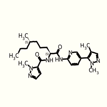 CCC[C@H](C)CCC[C@H](NC(=O)c1ccnn1C)C(=O)Nc1ccc(-c2c(C)cnn2C)cn1